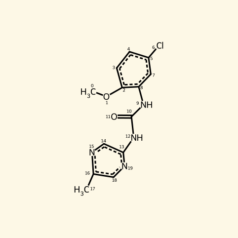 COc1ccc(Cl)cc1NC(=O)Nc1cnc(C)cn1